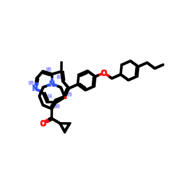 CCCC1=CCC(COc2ccc(C3=C/C/C=C/N=C\C=C(N4CC/C=C(\C(=O)C5CC5)CCC4)\C(C)=C\3)cc2)CC1